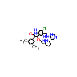 Cc1cc(C)cc(-c2c(OCCC3CCCCN3)c3cc(CNc4ccncn4)c(Cl)cc3[nH]c2=O)c1